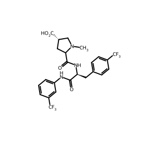 CN1C[C@@H](C(=O)O)CC1C(=O)N[C@@H](Cc1ccc(C(F)(F)F)cc1)C(=O)Nc1cccc(C(F)(F)F)c1